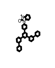 Cn1c(=O)n(-c2ccc(-c3cc(-c4cccc(-c5ccccc5)c4)cc(-c4cccc(-c5ccccc5)c4)c3)cc2)c2ccccc21